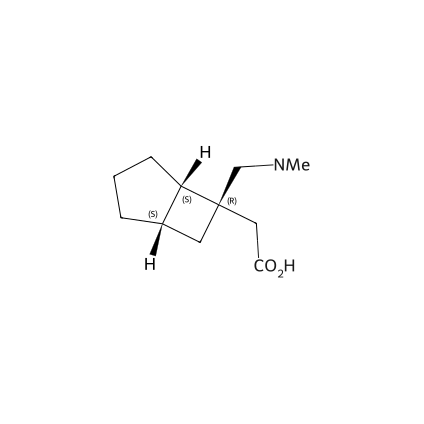 CNC[C@@]1(CC(=O)O)C[C@@H]2CCC[C@@H]21